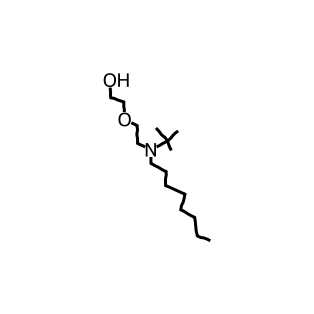 CCCCCCCCN(CCOCCO)C(C)(C)C